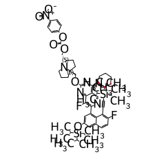 CC(C)[Si](C#Cc1c(F)ccc2cc(O[Si](C(C)C)(C(C)C)C(C)C)cc(-c3ncc4c(N5CCCCC5)nc(OC[C@@]56CCCN5[C@H](COC(=O)Oc5ccc([N+](=O)[O-])cc5)CC6)nc4c3F)c12)(C(C)C)C(C)C